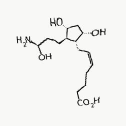 N[C@H](O)CC[C@@H]1[C@@H](C/C=C\CCCC(=O)O)[C@@H](O)C[C@H]1O